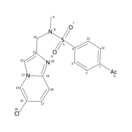 CC(=O)c1ccc(S(=O)(=O)N(C)Cc2cn3cc(Cl)ccc3n2)cc1